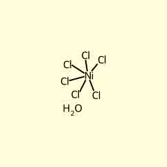 O.[Cl][Ni]([Cl])([Cl])([Cl])([Cl])[Cl]